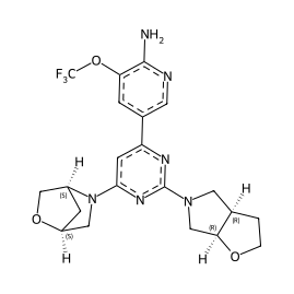 Nc1ncc(-c2cc(N3C[C@@H]4C[C@H]3CO4)nc(N3C[C@H]4CCO[C@H]4C3)n2)cc1OC(F)(F)F